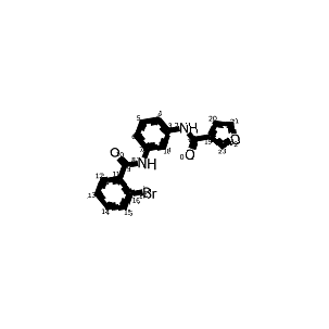 O=C(Nc1cccc(NC(=O)c2ccccc2Br)c1)c1ccoc1